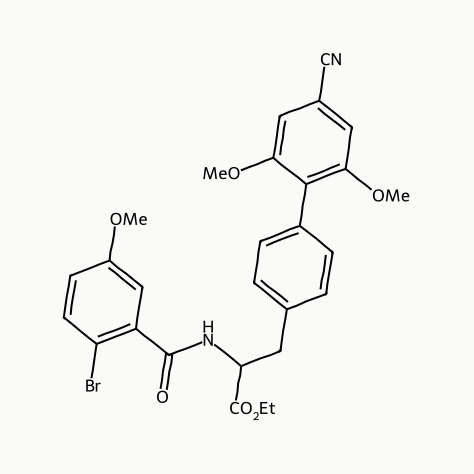 CCOC(=O)C(Cc1ccc(-c2c(OC)cc(C#N)cc2OC)cc1)NC(=O)c1cc(OC)ccc1Br